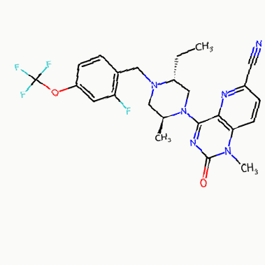 CC[C@@H]1CN(c2nc(=O)n(C)c3ccc(C#N)nc23)[C@@H](C)CN1Cc1ccc(OC(F)(F)F)cc1F